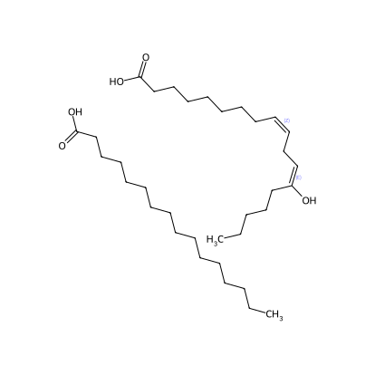 CCCCC/C(O)=C\C/C=C\CCCCCCCC(=O)O.CCCCCCCCCCCCCCCC(=O)O